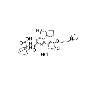 Cc1ccccc1-c1ccc(C(=O)NC2(C(=O)O)C3CC4CC(C3)CC2C4)nc1-c1ccc(Cl)c(OCCCN2CCCC2)c1.Cl